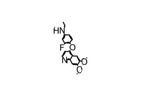 CCNc1ccc(Oc2ccnc3cc(OC)c(OC)cc23)c(F)c1